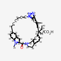 Cc1c2ccc3c1nnn3CCCCCCc1ccc3c(c1)cc(n3C)C(=O)N1CCc3ccc(cc3C1)[C@H]2[C@H](C)C(=O)O